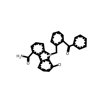 NC(=O)c1cccc2c1c1[c]ccc(Cl)c1n2Cc1ccccc1C(=O)c1ccccc1